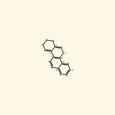 C1=C2CCCC=C2c2ccc3ccccc3c2C1